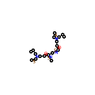 c1ccc(-c2nc3c(-c4ccc(-c5nc6ccc7oc8cc(-c9ccc(N(c%10ccc(-c%11cccc%12ccccc%11%12)cc%10)c%10cccc%11c%10sc%10ccccc%10%11)cc9)ccc8c7c6s5)cc4)cc4oc5cc(-c6ccc(N(c7ccc(-c8cccc9ccccc89)cc7)c7ccc8sc9ccccc9c8c7)cc6)ccc5c4c3s2)cc1